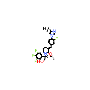 Cc1cn(-c2ccc(/C=C3\CCCN([C@](C)(CO)c4cc(F)c(F)c(F)c4)C3=O)cc2F)cn1